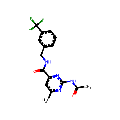 CC(=O)Nc1nc(C)cc(C(=O)NCc2cccc(C(F)(F)F)c2)n1